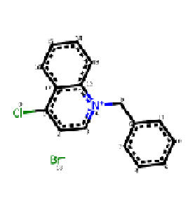 Clc1cc[n+](Cc2ccccc2)c2ccccc12.[Br-]